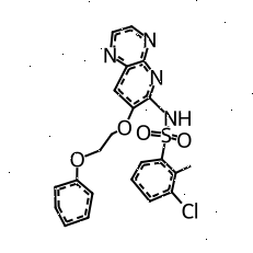 Cc1c(Cl)cccc1S(=O)(=O)Nc1nc2nccnc2cc1OCCOc1ccccc1